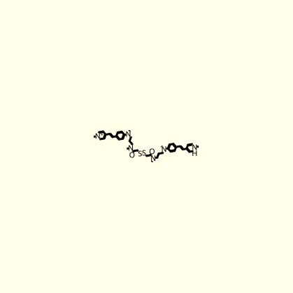 C/C=C(\C=C/NC)/C=C/c1ccc(N(C)CCCN(C)C(=O)CSSCC(=O)N(C)CCCN(C)c2ccc(/C=C/c3cc[n+](C)cc3)cc2)cc1